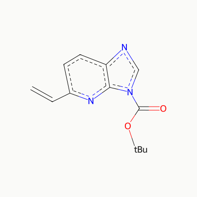 C=Cc1ccc2ncn(C(=O)OC(C)(C)C)c2n1